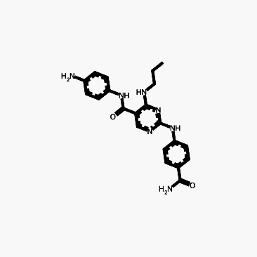 CCCNc1nc(Nc2ccc(C(N)=O)cc2)ncc1C(=O)Nc1ccc(N)cc1